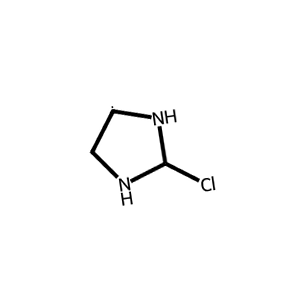 ClC1N[CH]CN1